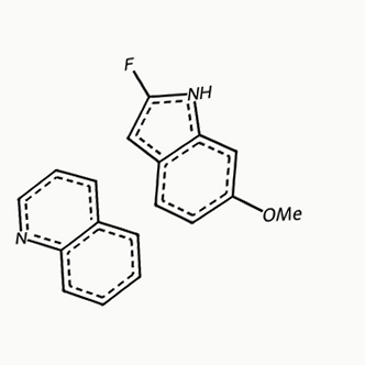 COc1ccc2cc(F)[nH]c2c1.c1ccc2ncccc2c1